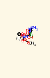 COCCOC(=O)[C@H](C)N[P@](=O)(OC[C@H]1O[C@@H](n2ccc(N)nc2=O)[C@@](F)(Cl)[C@@H]1O)Oc1ccccc1